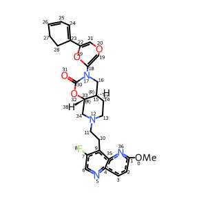 COc1ccc2ncc(F)c(CCN3CC[C@@H]4CN(C5=COC=C(C6=CC=CCC6)O5)C(=O)O[C@H]4C3)c2n1